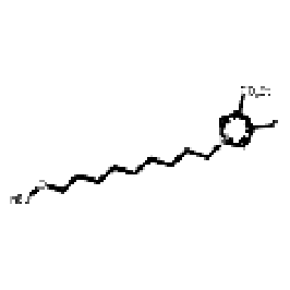 CCCCOCCCCCCCCCn1cc(F)c(C(=O)OCC)c1